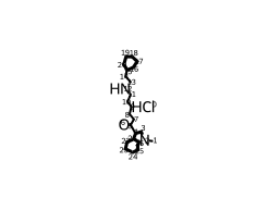 Cl.Cn1cc(C(=O)CCCCCNCCc2ccccc2)c2ccccc21